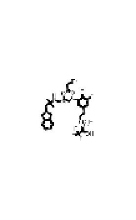 CC(C)CC(=O)O[C@H](CNC(C)(C)CC1Cc2ccccc2C1)COc1cc(CCC(=O)O)cc(F)c1F.O=C(O)C(F)(F)F